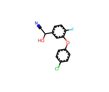 N#CC(O)c1ccc(F)c(Oc2ccc(Cl)cc2)c1